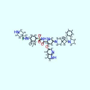 CC(C)c1ccccc1C1CCCN1C1CC2(CCN(c3cnc(C(=O)NS(=O)(=O)c4ccc(NCC5(F)CCNCC5)c([N+](=O)[O-])c4)c(Oc4cnc5[nH]ccc5c4)c3)CC2)C1